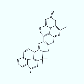 CC1=C2CC(=O)C=C3C=CC4=C(C(=C1)CC1=C4C=C4C5C=Cc6cccc7c(C)cc(c5c67)C(C)(C)C4C1)C32